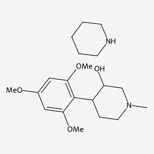 C1CCNCC1.COc1cc(OC)c(C2CCN(C)CC2O)c(OC)c1